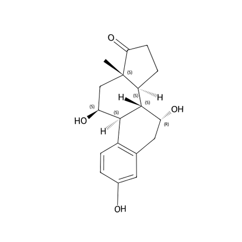 C[C@]12C[C@H](O)[C@@H]3c4ccc(O)cc4C[C@@H](O)[C@H]3[C@@H]1CCC2=O